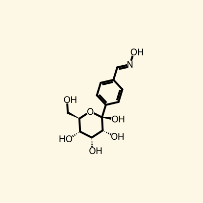 OC[C@H]1O[C@](O)(c2ccc(C=NO)cc2)[C@H](O)[C@H](O)[C@@H]1O